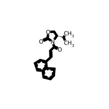 CC(C)[C@H]1COC(=O)N1C(=O)/C=C/c1cccc2ccccc12